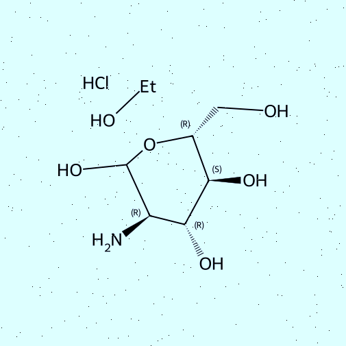 CCO.Cl.N[C@H]1C(O)O[C@H](CO)[C@@H](O)[C@@H]1O